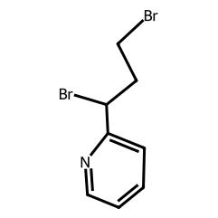 BrCCC(Br)c1ccccn1